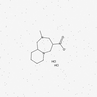 CN1CC2CCCCN2CC([N+](=O)[O-])C1.Cl.Cl